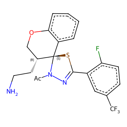 CC(=O)N1N=C(c2cc(C(F)(F)F)ccc2F)S[C@@]12c1ccccc1OC[C@H]2CCN